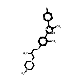 Cc1cc(OCC(C)CN2CCN(C)CC2)ccc1-c1nc(-c2ccc(Cl)cc2)c(C)[nH]1